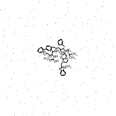 CC[C@H](C)[C@H](NC(=O)O)C(=O)NN(Cc1ccc(-c2ccccn2)cc1)C[C@H](O)[C@H](Cc1ccccc1)NC(=O)[C@@H](N1CCN(Cc2nc3ccccc3n2C)C1=O)C(C)(C)C